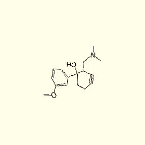 COc1cccc(C2(O)CCC#CC2CN(C)C)c1